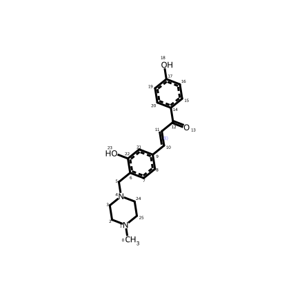 CN1CCN(Cc2ccc(/C=C/C(=O)c3ccc(O)cc3)cc2O)CC1